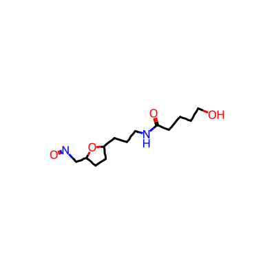 O=NCC1CCC(CCCNC(=O)CCCCO)O1